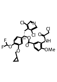 COc1ccc(C(=O)O[C@@H](Cc2c(Cl)cncc2Cl)c2ccc(OC(F)F)c(OCC3CC3)c2)cc1NC(=O)CCl